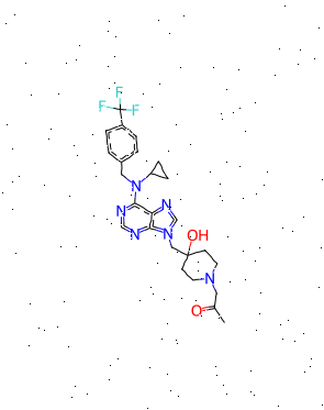 CC(=O)CN1CCC(O)(Cn2cnc3c(N(Cc4ccc(C(F)(F)F)cc4)C4CC4)ncnc32)CC1